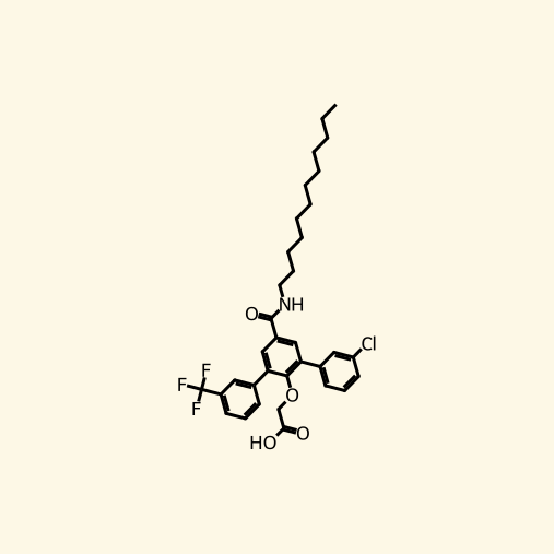 CCCCCCCCCCCCNC(=O)c1cc(-c2cccc(Cl)c2)c(OCC(=O)O)c(-c2cccc(C(F)(F)F)c2)c1